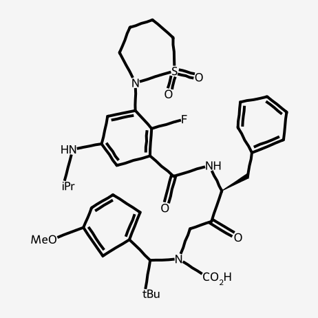 COc1cccc(C(N(CC(=O)[C@H](Cc2ccccc2)NC(=O)c2cc(NC(C)C)cc(N3CCCCS3(=O)=O)c2F)C(=O)O)C(C)(C)C)c1